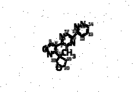 CC1(c2no[c]c2-c2cnc(-c3cccnn3)cn2)CCOC1